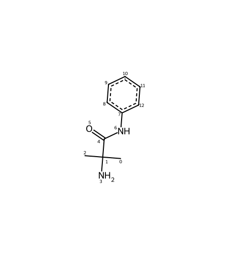 CC(C)(N)C(=O)Nc1cc[c]cc1